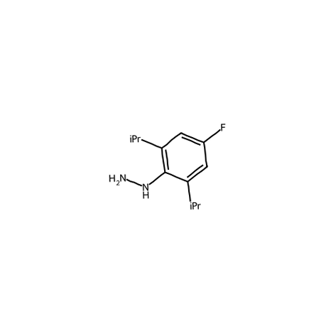 CC(C)c1cc(F)cc(C(C)C)c1NN